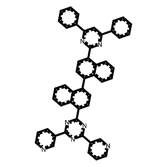 c1ccc(-c2cc(-c3ccccc3)nc(-c3ccc(-c4ccc(-c5nc(-c6cccnc6)nc(-c6cccnc6)n5)c5ccccc45)c4ccccc34)n2)cc1